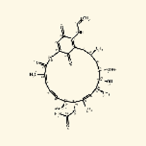 C=CNC1=C2C[C@@H](C)C[C@H](OC)[C@H](O)[C@@H](C)C=C(C)[C@H](OC(N)=O)[C@@H](OC)C=CC=C(C)C(=O)NC(=CC1=O)C2=O